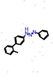 Cc1ccccc1-c1ccc(NN=Nc2ccccc2)cc1